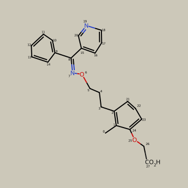 Cc1c(CCCON=C(c2ccccc2)c2cccnc2)cccc1OCC(=O)O